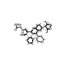 CNC(=O)CN/C=C(\C=N)c1nc(N2CCOC[C@@H]2c2ccccc2)c2cc(-c3c(C)noc3C)ccc2n1